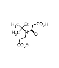 CCOC(=O)CCN(C(=O)CC(=O)O)C(C)(C)CC